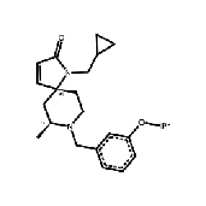 CC(C)Oc1cccc(CN2CC[C@]3(C=CC(=O)N3CC3CC3)C[C@@H]2C)c1